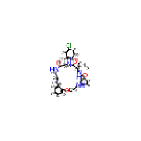 C[C@@H]1NC(=O)C2(CCCC2)NCCOc2ccccc2/C=C/CNC(=O)[C@H](Cc2cccc(Cl)c2)NC1=O